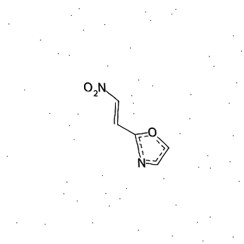 O=[N+]([O-])/C=C/c1ncco1